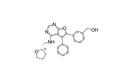 OCc1cccc(-c2oc3ncnc(NC[C@@H]4CCCO4)c3c2-c2ccccc2)c1